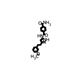 COc1cccc(CCc2cc(NC(=O)c3ccc(C(N)=O)cc3)[nH]n2)c1